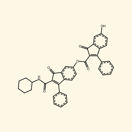 O=C(NC1CCCCC1)C1=C(c2ccccc2)c2ccc(OC(=O)C3=C(c4ccccc4)c4ccc(O)cc4C3=O)cc2C1=O